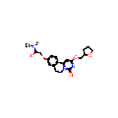 CCN(CC)C(=O)COc1ccc2c(c1)CCn1c-2cc(OCC2CCCO2)nc1=O